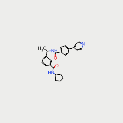 C[C@@H](NC(=O)c1ccc(-c2ccncc2)cc1)c1cccc(C(=O)NC2CCCC2)c1